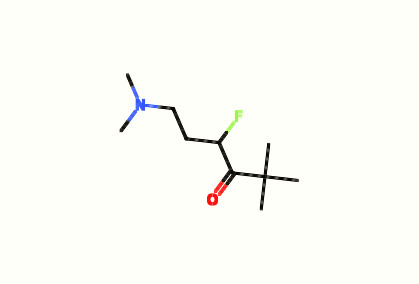 CN(C)CCC(F)C(=O)C(C)(C)C